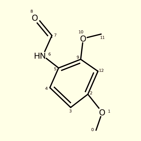 COc1ccc(N[C]=O)c(OC)c1